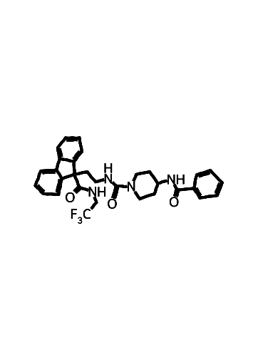 O=C(NC1CCN(C(=O)NCCC2(C(=O)NCC(F)(F)F)c3ccccc3-c3ccccc32)CC1)c1ccccc1